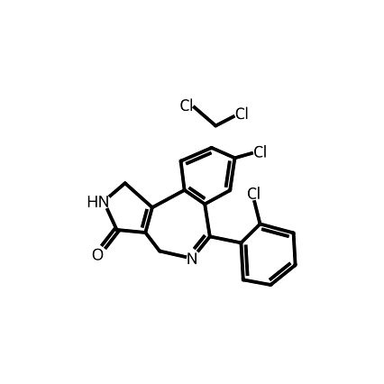 ClCCl.O=C1NCC2=C1CN=C(c1ccccc1Cl)c1cc(Cl)ccc12